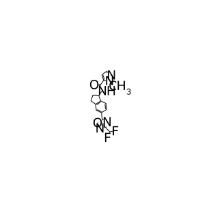 Cn1nccc1C(=O)NC1CCc2cc(-c3nc(C(F)F)no3)ccc21